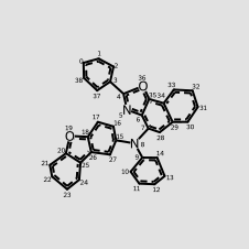 c1ccc(-c2nc3c(N(c4ccccc4)c4ccc5oc6ccccc6c5c4)cc4ccccc4c3o2)cc1